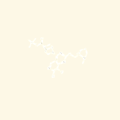 CN1CCC[C@H]1COc1nc(N2CC3CCC2CN3C(=O)OC(C)(C)C)c2cnc(Cl)c(F)c2n1